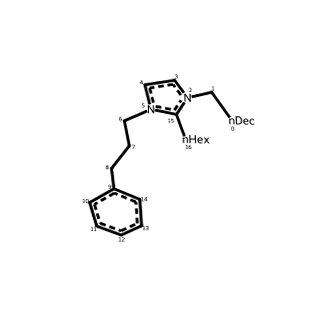 CCCCCCCCCCCn1cc[n+](CCCc2ccccc2)c1CCCCCC